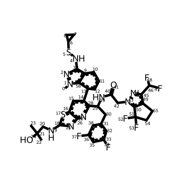 Cn1nc(NSC2CC2)c2cccc(-c3cc4sc(NCC(C)(C)O)nc4nc3C(Cc3cc(F)cc(F)c3)NC(=O)Cn3nc(C(F)F)c4c3C(F)(F)CC4)c21